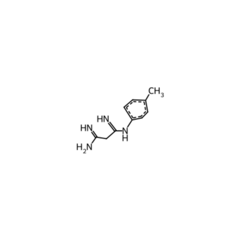 Cc1ccc(NC(=N)CC(=N)N)cc1